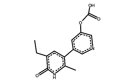 CCc1cc(-c2cncc(OC(=O)O)c2)c(C)[nH]c1=O